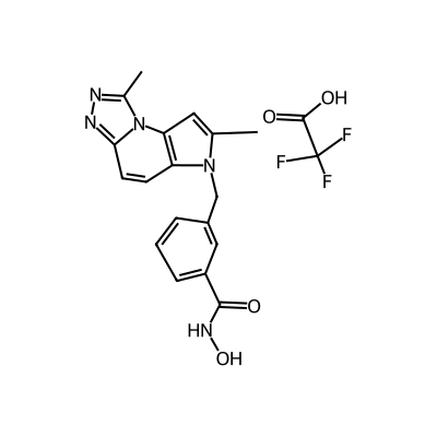 Cc1cc2c(ccc3nnc(C)n32)n1Cc1cccc(C(=O)NO)c1.O=C(O)C(F)(F)F